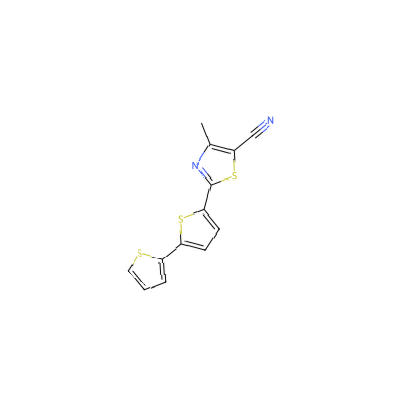 Cc1nc(-c2ccc(-c3cccs3)s2)sc1C#N